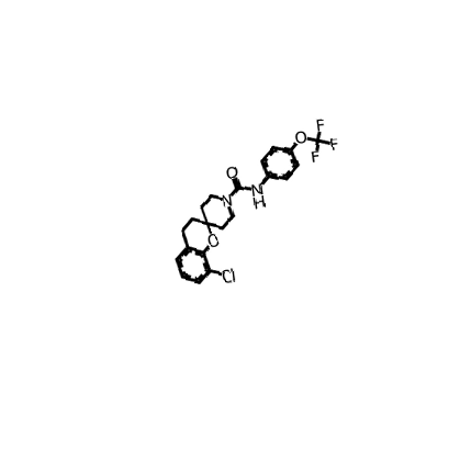 O=C(Nc1ccc(OC(F)(F)F)cc1)N1CCC2(CCc3cccc(Cl)c3O2)CC1